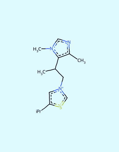 Cc1ncn(C)c1C(C)C[n+]1csc(C(C)C)c1